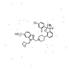 CC1(c2ccc(Cl)cc2F)Oc2c(C3CCN(Cc4nc5ccc(C(=O)O)cc5n4C[C@@H]4CCO4)CC3)cccc2C1(F)F